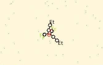 CCC1CCC(C2CCC(C(OC(c3ccc(F)c(F)c3)C3CCC(C4CCC(CC)CC4)CC3)c3ccc(F)c(F)c3)CC2)CC1